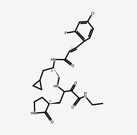 CCNC(=O)C(=O)C(C[C@@H]1CCNC1=O)NC[C@H](CC1CC1)NC(=O)/C=C/c1ccc(Cl)cc1F